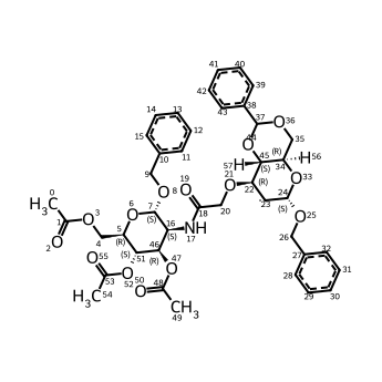 CC(=O)OC[C@H]1O[C@H](OCc2ccccc2)[C@@H](NC(=O)CO[C@@H]2[CH][C@@H](OCc3ccccc3)O[C@@H]3COC(c4ccccc4)O[C@@H]23)[C@@H](OC(C)=O)[C@@H]1OC(C)=O